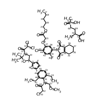 CC1(C)OC(c2ccco2)CN1C(=O)C(Cl)Cl.CCCCCOC(=O)COc1cc(N2C(=O)C3=C(CCCC3)C2=O)c(F)cc1Cl.CCc1cccc(CC)c1N(COC)C(=O)CCl.CP(=O)(O)CCC(N)C(=O)O